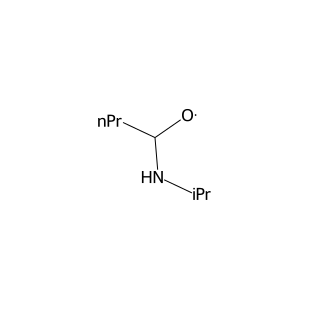 CCCC([O])NC(C)C